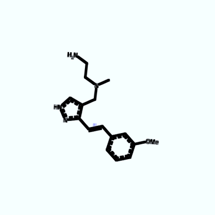 COc1cccc(/C=C/c2n[nH]cc2CN(C)CCN)c1